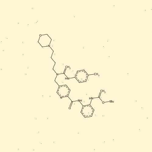 C=C(Nc1ccccc1NC(=O)c1ccc(CN(CCCCN2CCOCC2)C(=C)Nc2ccc(C)cc2)cn1)OC(C)(C)C